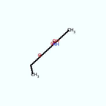 CCCCCCCC/C=C\CCCCCCCCCCCC(=O)CCCCCCCCCCCCCCCC(=O)NC(CO)CCCCCCCCCCCCCCCCCC